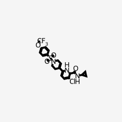 O=C(NC1CC1)C1NC(C2=CCN(S(=O)(=O)c3ccc(OC(F)(F)F)cc3)CC2)=CC=C1Cl